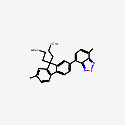 CCCCCCCCCCCCC1(CCCCCCCCCCCC)c2cc(C)ccc2-c2ccc(-c3ccc(C)c4nonc34)cc21